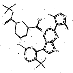 Cc1noc(C)c1-c1ccc2c(-c3nc(N[C@H]4C[C@H](C(=O)O)CN(C(=O)OC(C)(C)C)C4)ncc3C(F)(F)F)c[nH]c2n1